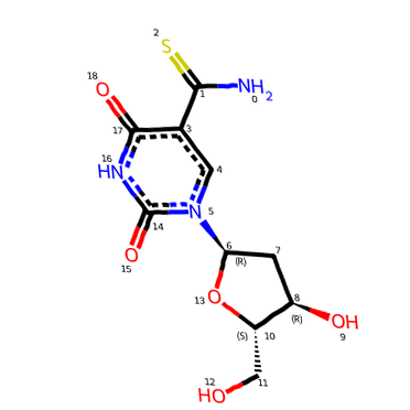 NC(=S)c1cn([C@H]2C[C@@H](O)[C@H](CO)O2)c(=O)[nH]c1=O